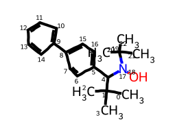 CC(C)(C)C(c1ccc(-c2ccccc2)cc1)N(O)C(C)(C)C